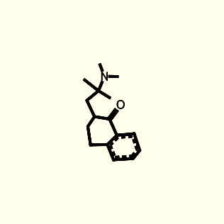 CN(C)C(C)(C)CC1CCc2ccccc2C1=O